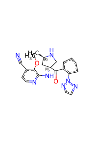 COc1c(C#N)ccnc1N[C@@]1(C(=O)c2ccccc2-n2nccn2)CN[C@H](C)C1